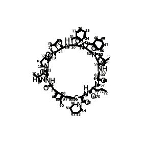 C=C1CC(=O)N[C@@](N)(CC(C)C)C(=O)N2CCC[C@H]2C(=O)N(C)[C@@H](C(C)C)C(=O)N[C@@H](Cc2ccccc2)C(=O)N(C)[C@@H](Cc2ccccc2)C(=O)N(C)[C@@H](CC(C)C)C(=O)N[C@@H](C)C(=O)N(C)[C@@H]([C@@H](C)CC)C(=O)NC(C(=O)N2CCCCC2)C/C=C\C1=C/C